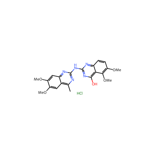 COc1cc2nc(Nc3nc(O)c4c(OC)c(OC)ccc4n3)nc(C)c2cc1OC.Cl